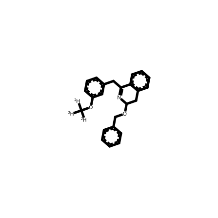 [2H]C([2H])([2H])Oc1cccc(CC2=NC(OCc3ccccc3)Cc3ccccc32)c1